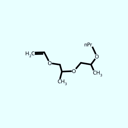 C=COCC(C)OCC(C)OC[CH]C